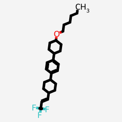 CCCCCCOC1CCC(c2ccc(C3CCC(/C=C/C(F)(F)F)CC3)cc2)CC1